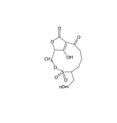 C.CCCCCCCCCCCC1CCCC(=O)C2=C(O)C(COS1(=O)=O)OC2=O